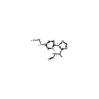 CC(NC=O)c1ncnn1-c1ccc(SCF)cn1